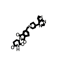 O=C1CCC(N2C(=O)c3ccc(CN4CC=C(c5ncnc6sccc56)CC4)cc3C2=O)C(=O)N1